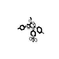 CCOC(=O)c1cn(C2=CCC(C)CC2)nc1N(C(=O)[C@H]1CC[C@H](C)CC1)C1CCN(S(C)(=O)=O)CC1